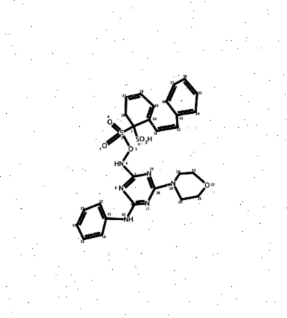 O=S(=O)(O)C1(S(=O)(=O)ONc2nc(Nc3ccccc3)nc(N3CCOCC3)n2)CC=CC=C1C=Cc1ccccc1